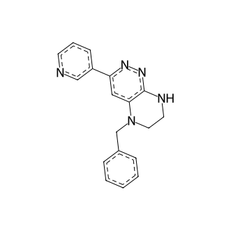 c1ccc(CN2CCNc3nnc(-c4cccnc4)cc32)cc1